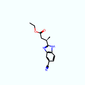 CCOC(=O)C[C@@H](C)c1nc2cc(C#N)ccc2[nH]1